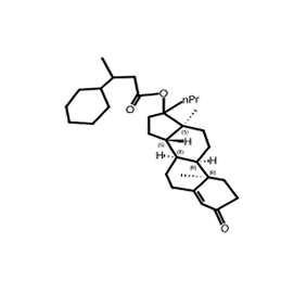 CCCC1(OC(=O)CC(C)C2CCCCC2)CC[C@H]2[C@@H]3CCC4=CC(=O)CC[C@]4(C)[C@@H]3CC[C@@]21C